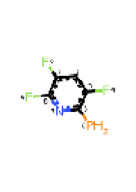 Fc1cc(F)c(P)nc1F